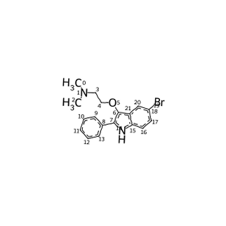 CN(C)CCOc1c(-c2ccccc2)[nH]c2ccc(Br)cc12